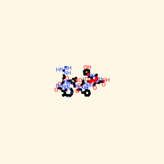 C=C1/C=C\C=C/CN/C=C\1C[C@H](NC(=O)[C@H](CCCNC(=N)NC)NC(=O)[C@@H](/C=C/CNC(=O)[C@H](CC1CCCCC1)NC(=O)[C@@H](NC(=O)[C@H](CC(N)=O)NC(=O)[C@H](CCC(=O)O)NC(=O)[C@@H](Cc1ccc(O)cc1)NC(C)=O)[C@@H](C)O)CC(C)C)C(N)=O